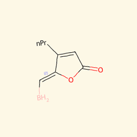 B/C=C1\OC(=O)C=C1CCC